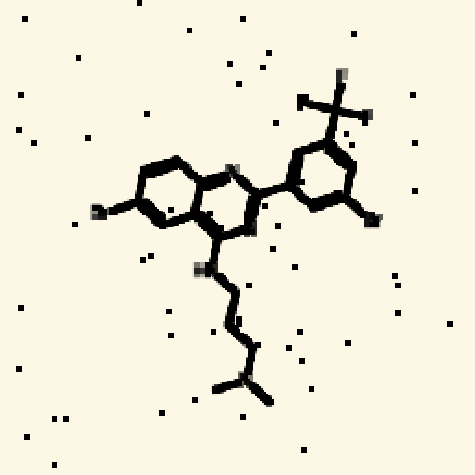 CN(C)CCCNc1nc(-c2cc(Br)cc(C(F)(F)F)c2)nc2ccc(Br)cc12